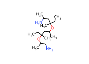 CCC(C)(CC(C)N)OC(C)CC(C)(CC)OC(C)CN